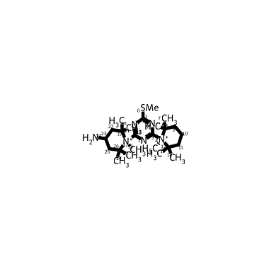 CSc1nc([N+]2(C)C(C)(C)CCCC2(C)C)nc([N+]2(C)C(C)(C)CC(N)CC2(C)C)n1